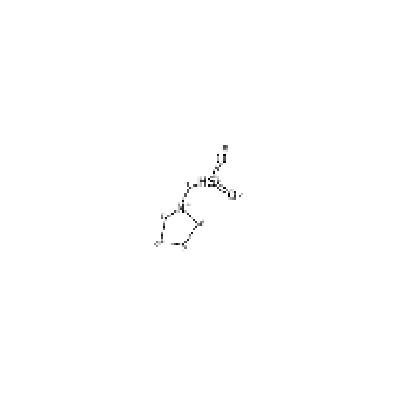 O=[SH](=O)CN1C[CH]CC1